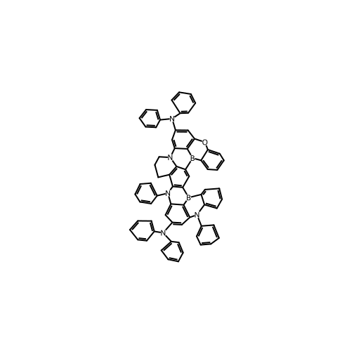 c1ccc(N(c2ccccc2)c2cc3c4c(c2)N2CCCc5c2c(cc2c5N(c5ccccc5)c5cc(N(c6ccccc6)c6ccccc6)cc6c5B2c2ccccc2N6c2ccccc2)B4c2ccccc2O3)cc1